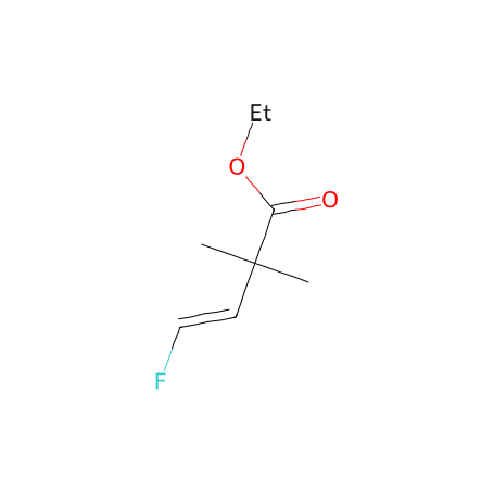 CCOC(=O)C(C)(C)/C=C/F